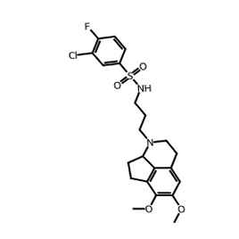 COc1cc2c3c(c1OC)CCC3N(CCCNS(=O)(=O)c1ccc(F)c(Cl)c1)CC2